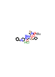 CC(C)(C)OC(=O)N1CSC[C@H]1C(=O)N[C@@H](CSCC1CCCC1)C(=O)NC1CCN(Cc2ccccc2)CC1.Cl